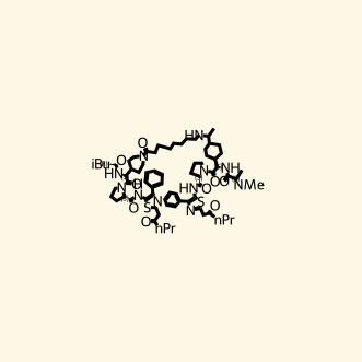 CCCC(=O)Cc1nc(-c2ccccc2)c(NC(=O)[C@@H]2CCCN2C(=O)[C@@H](NC(=O)[C@H](C)CC)C2CCN(C(=O)CCCCCCCNC(C)C3CCC([C@H](NC(=O)[C@H](C)NC)C(=O)N4CCC[C@H]4C(=O)Nc4sc(CC(=O)CCC)nc4-c4ccccc4)CC3)CC2)s1